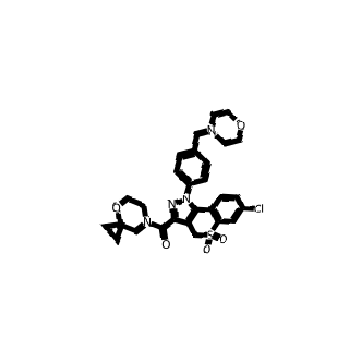 O=C(c1nn(-c2ccc(CN3CCOCC3)cc2)c2c1CS(=O)(=O)c1cc(Cl)ccc1-2)N1CCOC2(CC2)C1